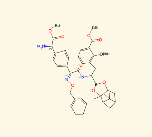 COc1c(CC(NC(=O)/C(=N\OCc2ccccc2)c2ccc([C@@H](N)C(=O)OC(C)(C)C)cc2)B2OC3CC4CC(C4(C)C)C3(C)O2)cccc1C(=O)OC(C)(C)C